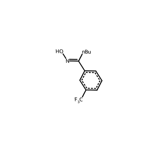 CCCCC(=NO)c1cccc(C(F)(F)F)c1